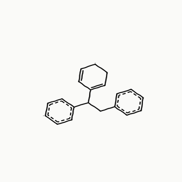 [c]1ccc(C(Cc2ccccc2)C2=CC[CH]C=C2)cc1